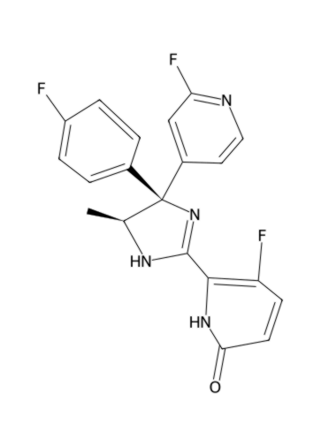 C[C@@H]1NC(c2[nH]c(=O)ccc2F)=N[C@@]1(c1ccc(F)cc1)c1ccnc(F)c1